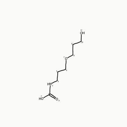 O=C(O)NCCCOCCCO